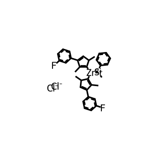 CC1=[C]([Zr+2]([C]2=C(C)C(c3cccc(F)c3)=CC2C)=[Si](C)c2ccccc2)C(C)C=C1c1cccc(F)c1.[Cl-].[Cl-]